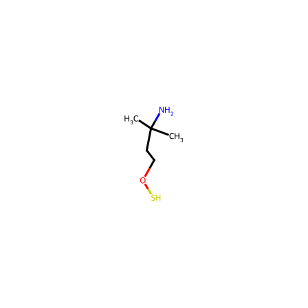 CC(C)(N)CCOS